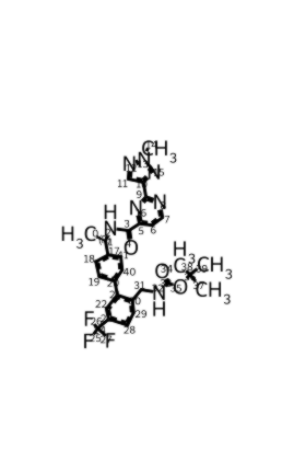 C[C@@H](NC(=O)c1ccnc(-c2cnn(C)n2)n1)c1ccc(-c2cc(C(F)(F)F)ccc2CNC(=O)OC(C)(C)C)cc1